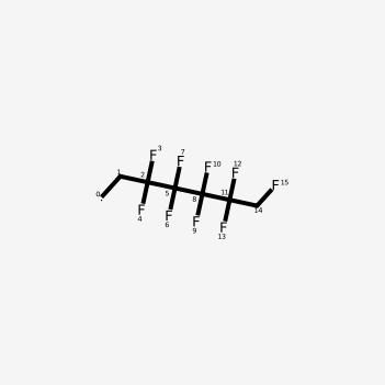 [CH2]CC(F)(F)C(F)(F)C(F)(F)C(F)(F)CF